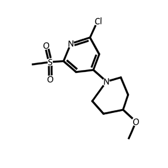 COC1CCN(c2cc(Cl)nc(S(C)(=O)=O)c2)CC1